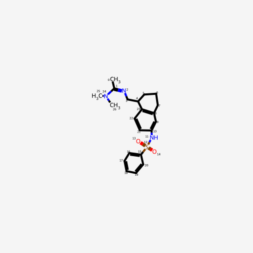 CC(=NCC1CCCc2cc(NS(=O)(=O)c3ccccc3)ccc21)N(C)C